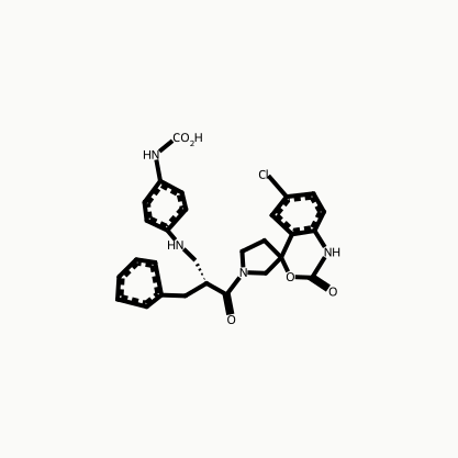 O=C(O)Nc1ccc(NC[C@@H](Cc2ccccc2)C(=O)N2CCC3(C2)OC(=O)Nc2ccc(Cl)cc23)cc1